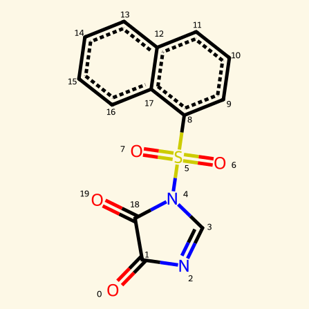 O=C1N=CN(S(=O)(=O)c2cccc3ccccc23)C1=O